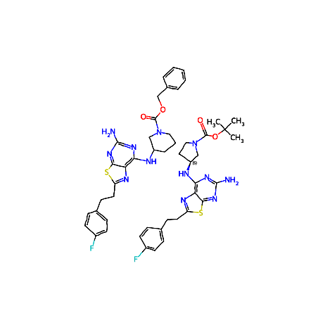 CC(C)(C)OC(=O)N1CC[C@H](Nc2nc(N)nc3sc(CCc4ccc(F)cc4)nc23)C1.Nc1nc(NC2CCCN(C(=O)OCc3ccccc3)C2)c2nc(CCc3ccc(F)cc3)sc2n1